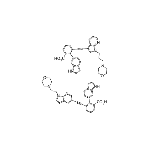 O=C(O)c1cccc(C#Cc2cn(CCCN3CCOCC3)c3ncccc23)c1-c1ccc2cc[nH]c2c1.O=C(O)c1cccc(C#Cc2cnc3c(ccn3CCN3CCOCC3)c2)c1-c1ccc2cc[nH]c2c1